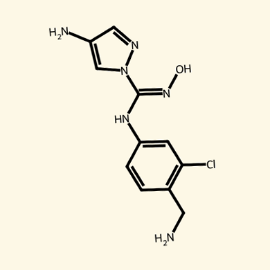 NCc1ccc(NC(=NO)n2cc(N)cn2)cc1Cl